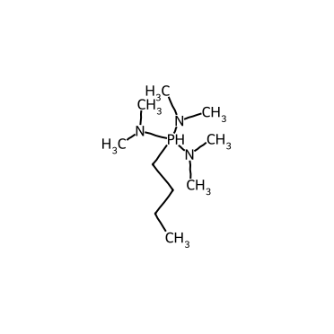 CCCC[PH](N(C)C)(N(C)C)N(C)C